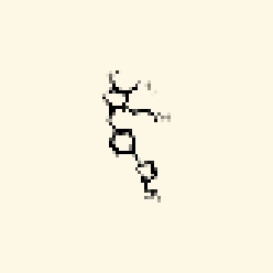 CC(=O)c1sc(=Nc2ccc(-n3ccc(C(F)(F)F)n3)cc2)n(CCO)c1C